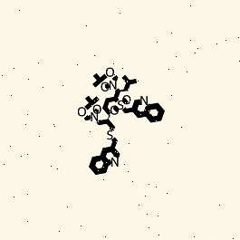 CC(C)C[C@@H](C(CCC[C@H](CSCc1cnc2ccccc2c1)CN(C=O)OC(C)(C)C)S(=O)(=O)Cc1cnc2ccccc2c1)N(C=O)OC(C)(C)C